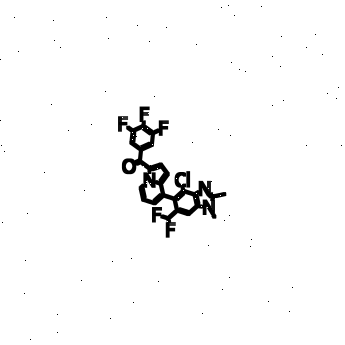 Cc1nc2c(Cl)c(-c3cccn4c(C(=O)c5cc(F)c(F)c(F)c5)ccc34)c(C(F)F)cc2n1C